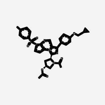 CC(=O)O[C@@H]1C[C@H](c2nc(-c3ccc(OCC4CC4)cc3)c3cnc4c(ccn4S(=O)(=O)c4ccc(C)cc4)n23)N(C(C)=O)C1